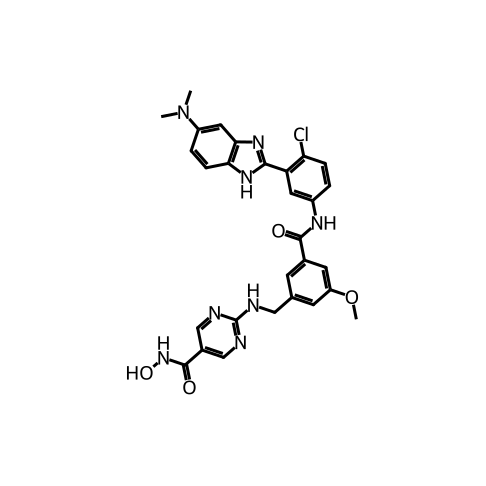 COc1cc(CNc2ncc(C(=O)NO)cn2)cc(C(=O)Nc2ccc(Cl)c(-c3nc4cc(N(C)C)ccc4[nH]3)c2)c1